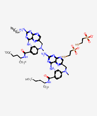 CN(Cc1cnc2nc(N)nc(N)c2n1)c1ccc(C(=O)N[C@@H](CCC(=O)O)C(=O)O)cc1.CN(Cc1cnc2nc(N)nc(N)c2n1)c1ccc(C(=O)N[C@@H](CCC(=O)[O-])C(=O)O)cc1.O=S(=O)([O-])CCS.O=S(=O)([O-])CCS.[Na+].[Na+].[Na+]